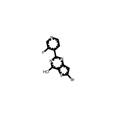 Oc1nc(-c2ccncc2F)nc2cc(Br)sc12